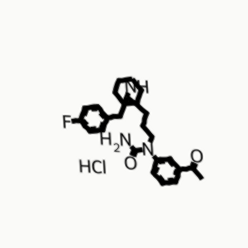 CC(=O)c1cccc(N(CCCC2NC3CCC2(Cc2ccc(F)cc2)CC3)C(N)=O)c1.Cl